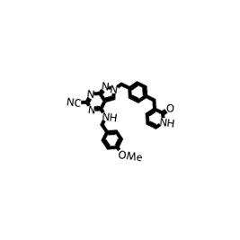 COc1ccc(CNc2nc(C#N)nc3nn(Cc4ccc(Cc5ccc[nH]c5=O)cc4)cc23)cc1